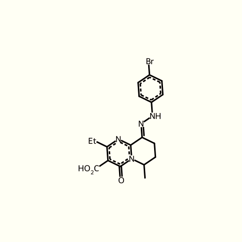 CCc1nc2n(c(=O)c1C(=O)O)C(C)CCC2=NNc1ccc(Br)cc1